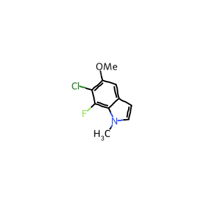 COc1cc2ccn(C)c2c(F)c1Cl